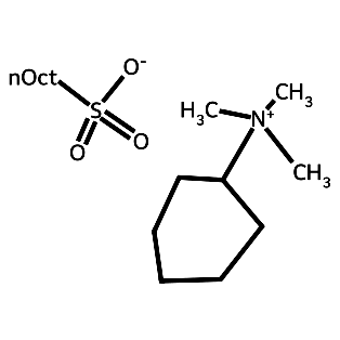 CCCCCCCCS(=O)(=O)[O-].C[N+](C)(C)C1CCCCC1